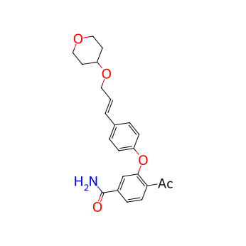 CC(=O)c1ccc(C(N)=O)cc1Oc1ccc(/C=C/COC2CCOCC2)cc1